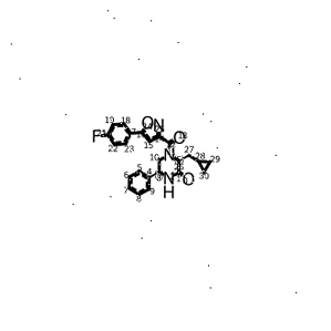 O=C1N[C@@H](c2ccccc2)CN(C(=O)c2cc(-c3ccc(F)cc3)on2)[C@H]1CC1CC1